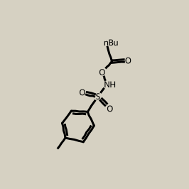 CCCCC(=O)ONS(=O)(=O)c1ccc(C)cc1